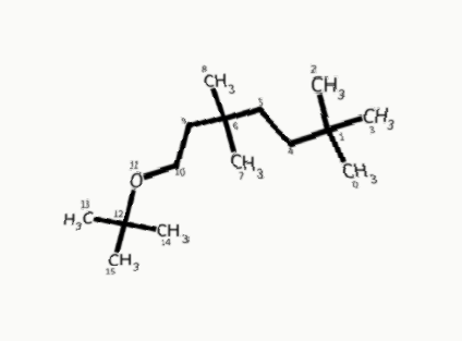 CC(C)(C)CCC(C)(C)CCOC(C)(C)C